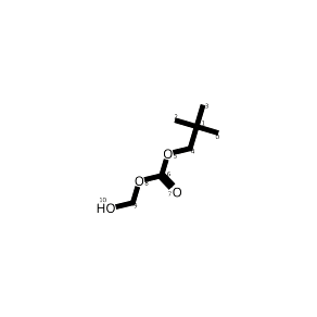 CC(C)(C)COC(=O)OCO